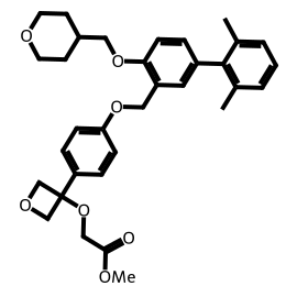 COC(=O)COC1(c2ccc(OCc3cc(-c4c(C)cccc4C)ccc3OCC3CCOCC3)cc2)COC1